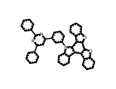 c1ccc(-c2cc(-c3cccc(-n4c5ccccc5c5c6c7ccccc7oc6c6sc7ccccc7c6c54)c3)nc(-c3ccccc3)n2)cc1